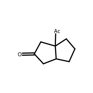 CC(=O)C12CCCC1CC(=O)C2